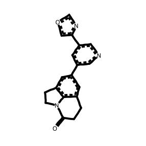 O=C1CCc2cc(-c3cncc(-c4cocn4)c3)cc3c2N1CC3